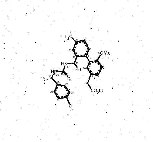 CCOC(=O)Cc1ccc(OC)c(-c2ccc(C(F)(F)F)cc2C(CC)NC(=O)N[C@@H](C)c2ccc(Cl)cc2)c1